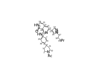 CC(=O)N1CCC(c2ccc(Nc3nc(-c4cnn(CCC(C)C)c4)cc4cc[nH]c(=O)c34)cc2)CC1